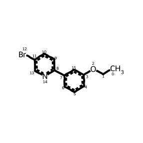 CCOc1cccc(-c2ccc(Br)cn2)c1